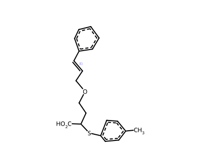 Cc1ccc(SC(CCOC/C=C/c2ccccc2)C(=O)O)cc1